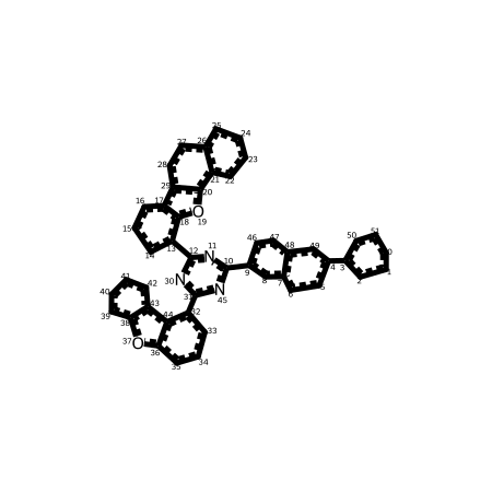 c1ccc(-c2ccc3cc(-c4nc(-c5cccc6c5oc5c7ccccc7ccc65)nc(-c5cccc6oc7ccccc7c56)n4)ccc3c2)cc1